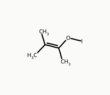 CC(C)=C(C)OI